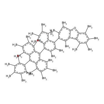 Bc1c(B)c(B)c(-c2c3c(B)c(B)c(B)c(B)c3c(-c3c(B)c(B)c(-c4c(B)c(B)c5oc6c(B)c(B)c(B)c(B)c6c5c4B)c4c(B)c(B)c(B)c(B)c34)c3c(B)c(B)c(B)c(B)c23)c(B)c1B